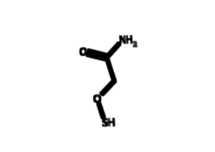 NC(=O)COS